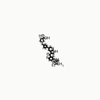 CCN(C)S(=O)(=O)Nc1ccc(F)c(C(=O)c2c[nH]c3ncc(-c4ccc(CN5CCC(C(O)O)C5)cc4)cc23)c1F